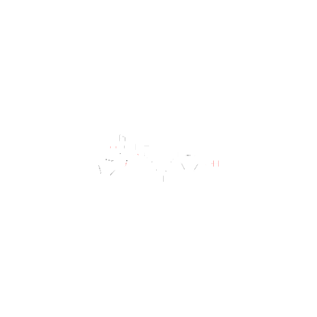 CCCOC(C)(C(=O)O[C@H]1CC[C@H]2[C@@H]3CCc4cc(O)ccc4[C@H]3CC[C@]12C)c1ccccc1